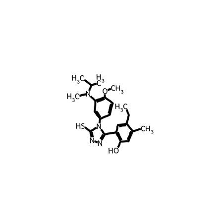 CCc1cc(-c2nnc(S)n2-c2ccc(OC)c(N(C)C(C)C)c2)c(O)cc1C